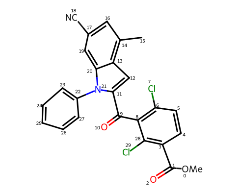 COC(=O)c1ccc(Cl)c(C(=O)c2cc3c(C)cc(C#N)cc3n2-c2ccccc2)c1Cl